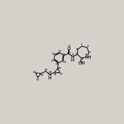 O=C(NC1CCCCNC1O)c1cccc(C2CC2NCC2CC2)c1